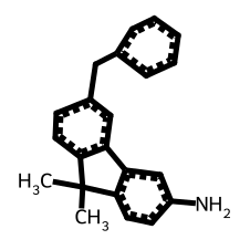 CC1(C)c2ccc(N)cc2-c2cc(Cc3ccccc3)ccc21